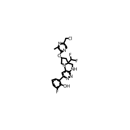 Cc1nc(CCl)cnc1OC1CN2c3cc(-c4cccc(F)c4O)nnc3NCC2(C(F)F)C1